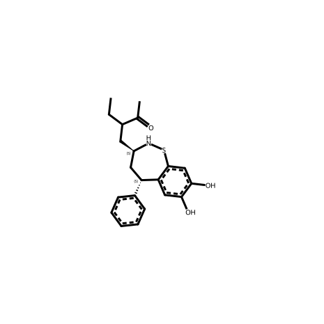 CCC(C[C@@H]1C[C@@H](c2ccccc2)c2cc(O)c(O)cc2SN1)C(C)=O